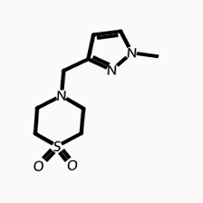 Cn1ccc(CN2CCS(=O)(=O)CC2)n1